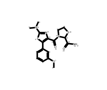 COc1cccc(-c2sc(N(C)C)nc2C(=O)N2CCSC2C(N)=O)c1